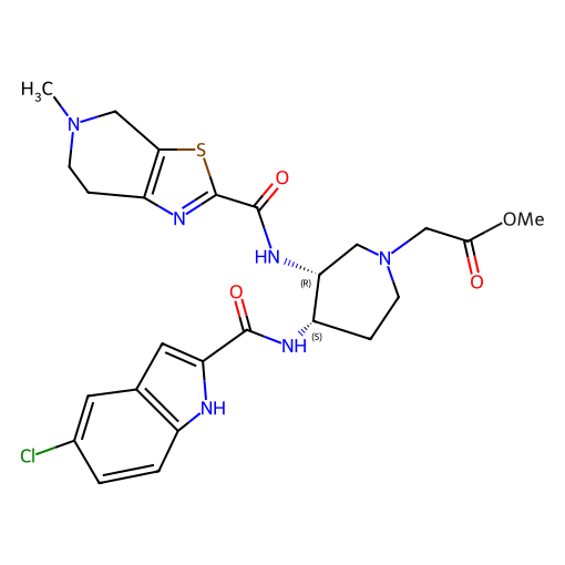 COC(=O)CN1CC[C@H](NC(=O)c2cc3cc(Cl)ccc3[nH]2)[C@H](NC(=O)c2nc3c(s2)CN(C)CC3)C1